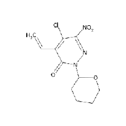 C=Cc1c(Cl)c([N+](=O)[O-])nn(C2CCCCO2)c1=O